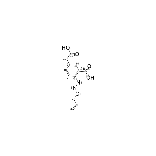 C=CCON=Nc1ccc(CC(=O)O)cc1C(=O)O